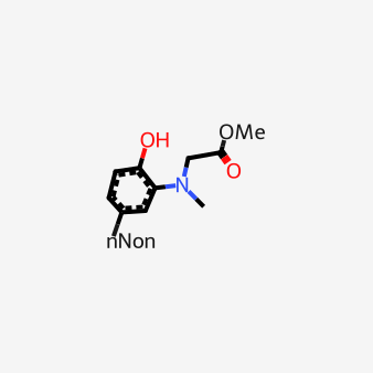 CCCCCCCCCc1ccc(O)c(N(C)CC(=O)OC)c1